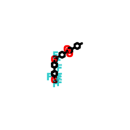 CC1CCC(C2COC(C3CCC(C(F)(F)Oc4ccc(-c5cc(F)c(OC(F)(F)F)c(F)c5)c(F)c4)CC3)OC2)CC1